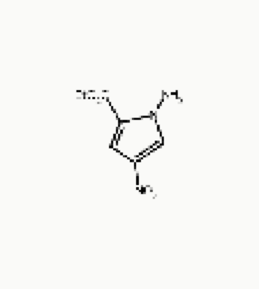 CCOC(=O)c1cc([N+](=O)[O-])cn1N